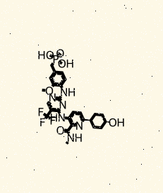 CNC(=O)c1nc([C@H]2CC[C@H](O)CC2)ccc1Nc1nc(Nc2ccc(CP(=O)(O)O)cc2OC)ncc1C(F)(F)F